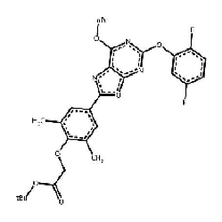 CCCOc1nc(Oc2cc(F)ccc2F)nc2oc(-c3cc(C)c(OCC(=O)OC(C)(C)C)c(C)c3)nc12